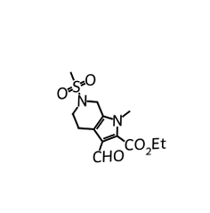 CCOC(=O)c1c(C=O)c2c(n1C)CN(S(C)(=O)=O)CC2